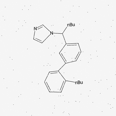 CCCCc1ccccc1-c1cccc(C(CCCC)n2ccnc2)c1